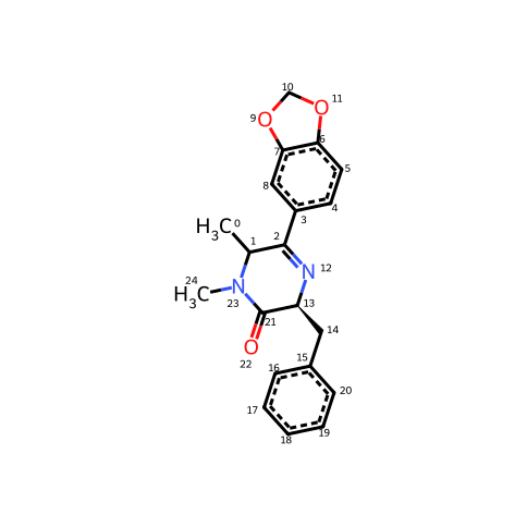 CC1C(c2ccc3c(c2)OCO3)=N[C@@H](Cc2ccccc2)C(=O)N1C